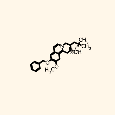 COC1=C(OCc2ccccc2)C=C2C=CN3CC(CC(C)(C)C)[C@H](O)CC3=C2C1